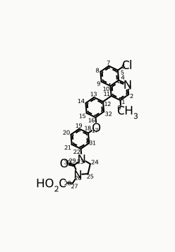 Cc1cnc2c(Cl)cccc2c1-c1cccc(Oc2cccc(N3CCN(CC(=O)O)C3=O)c2)c1